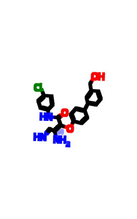 N=C/C(N)=C(/Oc1ccc(-c2cccc(CO)c2)cc1)C(=O)Nc1ccc(Cl)cc1